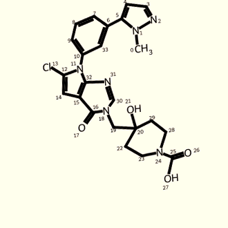 Cn1nccc1-c1cccc(-n2c(Cl)cc3c(=O)n(CC4(O)CCN(C(=O)O)CC4)cnc32)c1